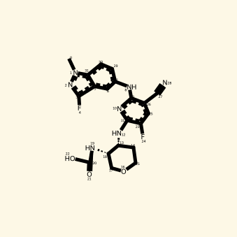 Cn1nc(F)c2cc(Nc3nc(N[C@@H]4CCOC[C@@H]4NC(=O)O)c(F)cc3C#N)ccc21